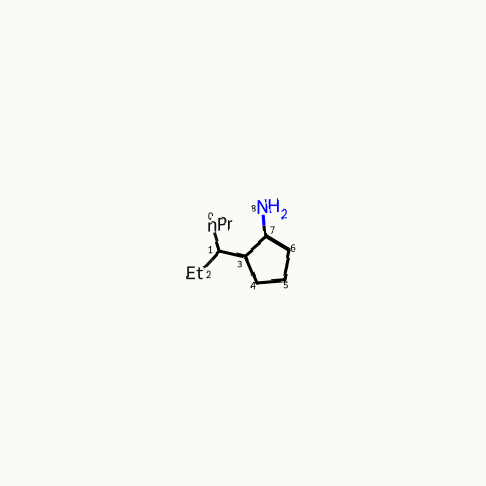 CCCC(CC)C1CCCC1N